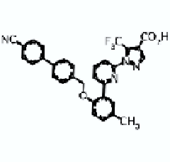 Cc1ccc(OCc2ccc(-c3ccc(C#N)cc3)cc2)c(-c2cccc(-n3ncc(C(=O)O)c3C(F)(F)F)n2)c1